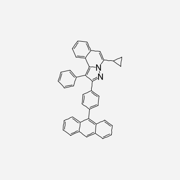 c1ccc(-c2c(-c3ccc(-c4c5ccccc5cc5ccccc45)cc3)nn3c(C4CC4)cc4ccccc4c23)cc1